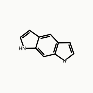 C1=Cc2cc3cc[nH]c3cc2[N]1